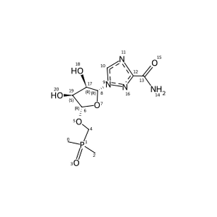 CP(C)(=O)CO[C@H]1O[C@@H](n2cnc(C(N)=O)n2)[C@H](O)[C@@H]1O